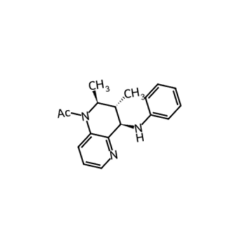 CC(=O)N1c2cccnc2[C@H](Nc2ccccc2)[C@@H](C)[C@@H]1C